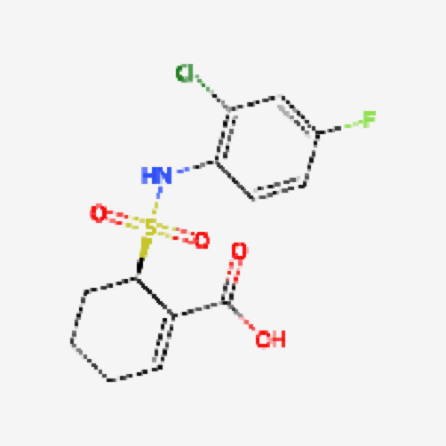 O=C(O)C1=CCCC[C@H]1S(=O)(=O)Nc1ccc(F)cc1Cl